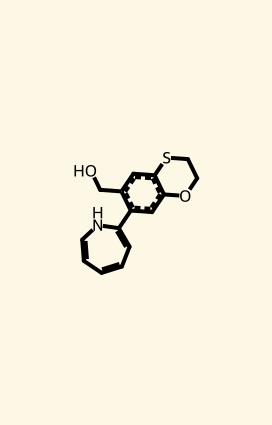 OCc1cc2c(cc1C1=CC=CC=CN1)OCCS2